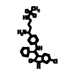 CS(=O)(=O)NCCCC(N)c1ccc(NC(=C2C(=O)Nc3cc(Cl)ccc32)c2ccccc2)cc1